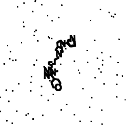 Cn1c(SCCCN2CC3CCN(c4cccnc4)C3C2)nnc1C1CCOCC1